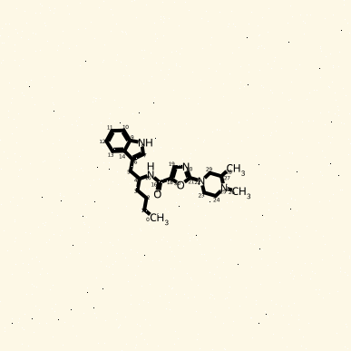 CCCCC(Cc1c[nH]c2ccccc12)NC(=O)c1cnc(N2CCN(C)C(C)C2)o1